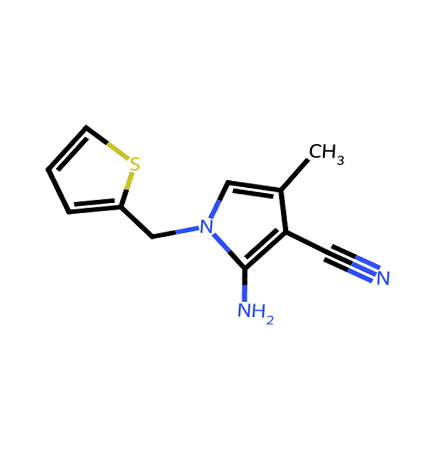 Cc1cn(Cc2cccs2)c(N)c1C#N